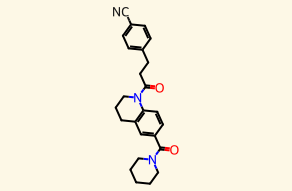 N#Cc1ccc(CCC(=O)N2CCCc3cc(C(=O)N4CCCCC4)ccc32)cc1